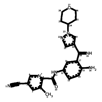 Cc1cc(C#N)cnc1C(=O)Nc1ccc(N)c(C(=N)c2cnn(C3CCOCC3)c2)c1